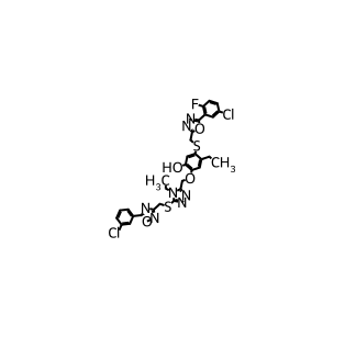 CCc1cc(OCc2nnc(SCc3noc(-c4cccc(Cl)c4)n3)n2CC)c(O)cc1SCc1nnc(-c2cc(Cl)ccc2F)o1